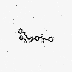 O=C(NCCN1CCOCC1)c1ccc(-c2csc(N(CCCN3CCOCC3)C(=O)c3cccs3)n2)cc1